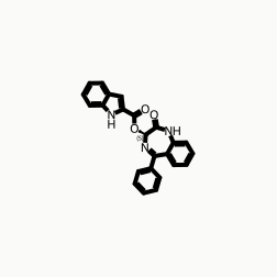 O=C(O[C@@H]1N=C(c2ccccc2)c2ccccc2NC1=O)c1cc2ccccc2[nH]1